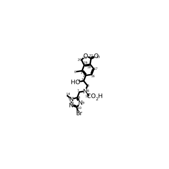 Cc1c(C(O)CN(Cc2nc(Br)nn2C)C(=O)O)ccc2c1COC2=O